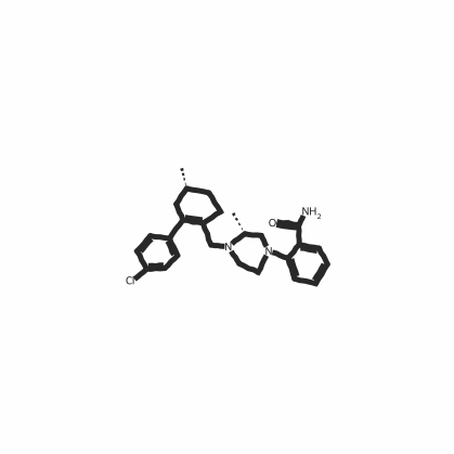 C[C@@H]1CCC(CN2CCN(c3ccccc3C(N)=O)C[C@H]2C)=C(c2ccc(Cl)cc2)C1